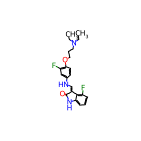 CCN(CC)CCCOc1ccc(NC=C2C(=O)Nc3cccc(F)c32)cc1F